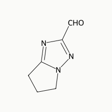 O=Cc1nc2n(n1)CCC2